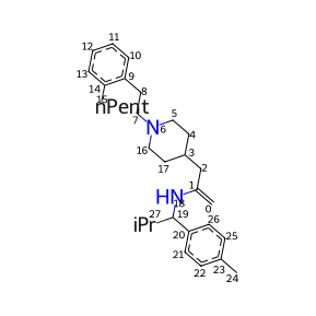 C=C(CC1CCN(CCc2ccccc2CCCCC)CC1)NC(c1ccc(C)cc1)C(C)C